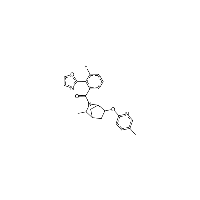 Cc1ccc(OC2CC3CC2N(C(=O)c2cccc(F)c2-c2ncco2)C3C)nc1